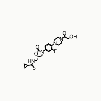 O=C(CO)N1CCN(c2ccc(N3C[C@H](CNC(=S)C4CC4)OC3=O)cc2F)CC1